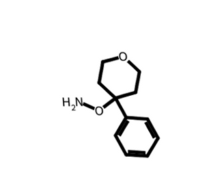 NOC1(c2ccccc2)CCOCC1